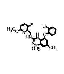 COc1ccc(F)c(CNC2=NS(=O)(=O)c3cc(C)cc(Oc4ccccc4Cl)c3N2)n1